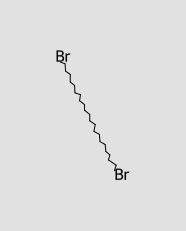 BrCCCCCCCCCCCCCCCCCCCCCCCBr